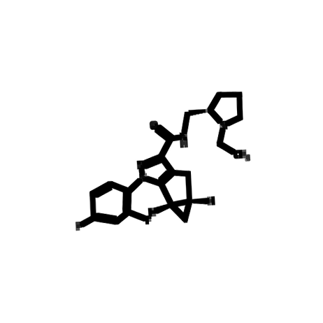 CCN1CCC[C@H]1CNC(=O)c1nn(-c2ccc(F)cc2F)c2c1C[C@@H]1C[C@H]21